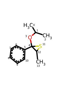 CC(C)OC1(c2ccccc2)SC1C